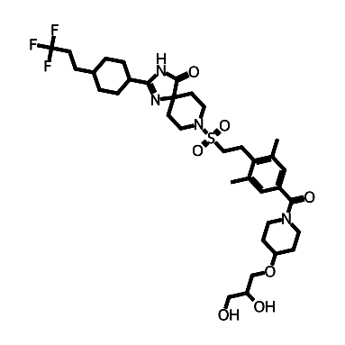 Cc1cc(C(=O)N2CCC(OCC(O)CO)CC2)cc(C)c1CCS(=O)(=O)N1CCC2(CC1)N=C(C1CCC(CCC(F)(F)F)CC1)NC2=O